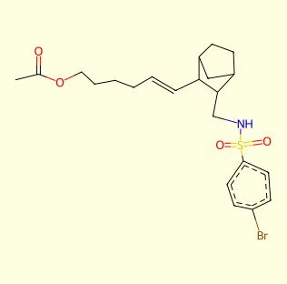 CC(=O)OCCCCC=CC1C2CCC(C2)C1CNS(=O)(=O)c1ccc(Br)cc1